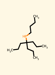 CCCCPC(CCC)(CCC)CCC